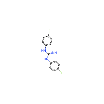 N=C(Nc1ccc(F)cc1)Nc1ccc(F)cc1